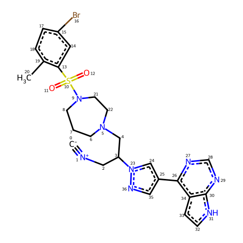 [C-]#[N+]CC(CN1CCCN(S(=O)(=O)c2cc(Br)ccc2C)CC1)n1cc(-c2ncnc3[nH]ccc23)cn1